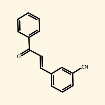 N#Cc1cccc(C=CC(=O)c2ccccc2)c1